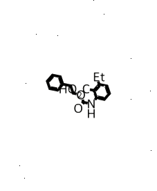 CCc1cccc(NC(=O)OCCc2ccccc2)c1C(=O)O